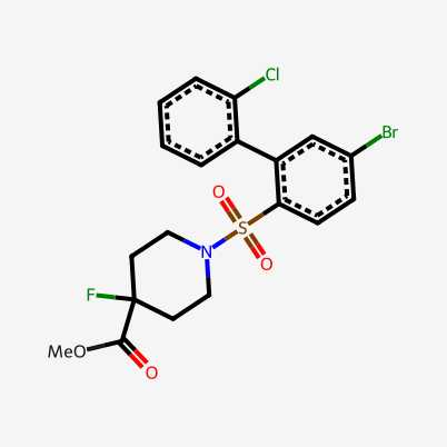 COC(=O)C1(F)CCN(S(=O)(=O)c2ccc(Br)cc2-c2ccccc2Cl)CC1